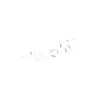 Cc1onc(C(N)=O)c1C(=N)c1ccc(OC2CCN(C(=O)OC(C)(C)C)CC2)cc1